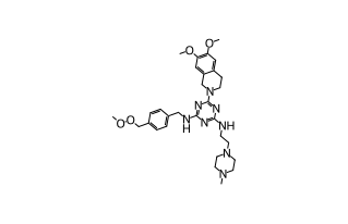 COOCc1ccc(CNc2nc(NCCN3CCN(C)CC3)nc(N3CCc4cc(OC)c(OC)cc4C3)n2)cc1